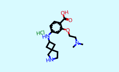 CN(C)CCOc1cc(NC2CC3(CCNC3)C2)ccc1C(=O)O.Cl